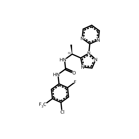 C[C@H](NC(=O)Nc1cc(C(F)(F)F)c(Cl)cc1F)c1ncnn1-c1ncccn1